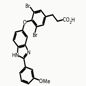 COc1cccc(-c2nc3cc(Oc4c(Br)cc(CCC(=O)O)cc4Br)ccc3[nH]2)c1